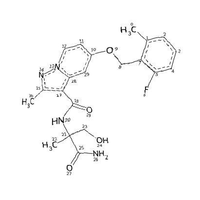 Cc1cccc(F)c1COc1ccn2nc(C)c(C(=O)NC(C)(CO)C(N)=O)c2c1